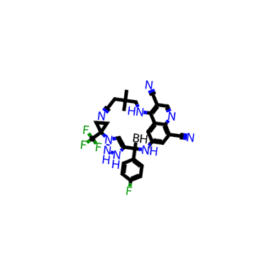 BC(Nc1cc(C#N)c2ncc(C#N)c(NCC(C)(C)CC#N)c2c1)(C1=CN(C2(C(F)(F)F)CC2)NN1)c1ccc(F)cc1